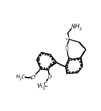 COc1cccc(-c2cccc3c2O[C@@H](CN)CC3)c1OC